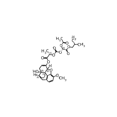 COc1ccc2c3c1O[C@H]1C(OC(=O)[C@H](C)OC(=O)O[C@H](OC(C)=O)C(=O)OCC(C)C)=CC[C@@]4(O)[C@H](CCC[C@]314)C2